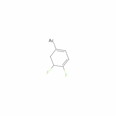 CC(=O)C1=CC=C(F)C(F)C1